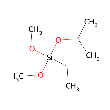 CC[Si](OC)(OC)OC(C)C